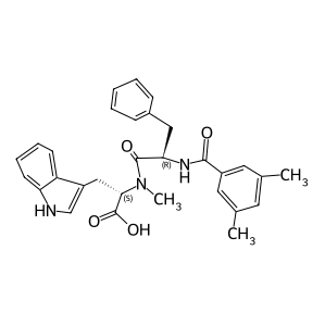 Cc1cc(C)cc(C(=O)N[C@H](Cc2ccccc2)C(=O)N(C)[C@@H](Cc2c[nH]c3ccccc23)C(=O)O)c1